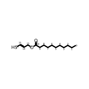 CCCCCCCCCCC(=O)OCC=CS